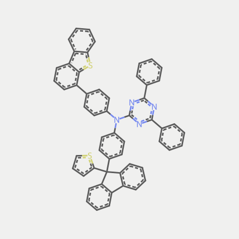 c1ccc(-c2nc(-c3ccccc3)nc(N(c3ccc(-c4cccc5c4sc4ccccc45)cc3)c3ccc(C4(c5cccs5)c5ccccc5-c5ccccc54)cc3)n2)cc1